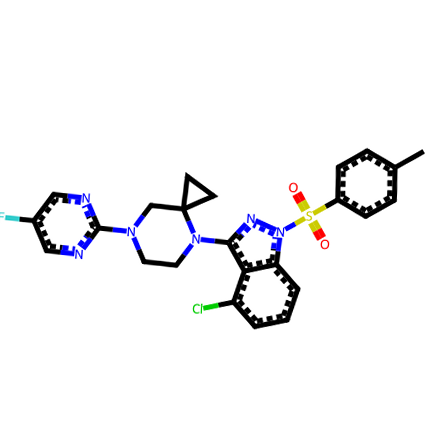 Cc1ccc(S(=O)(=O)n2nc(N3CCN(c4ncc(F)cn4)CC34CC4)c3c(Cl)cccc32)cc1